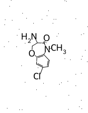 CN1C(=O)C(N)COc2cc(Cl)ccc21